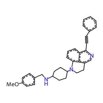 COc1ccc(CNC2CCC(N3CCc4cnc(C#Cc5ccccc5)c5cccc3c45)CC2)cc1